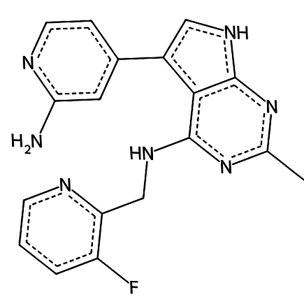 Cc1nc(NCc2ncccc2F)c2c(-c3ccnc(N)c3)c[nH]c2n1